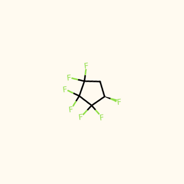 F[C@@H]1CC(F)(F)C(F)(F)C1(F)F